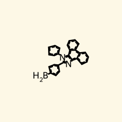 Bc1ccc(-c2nc3c4ccccc4c4ccccc4c3n2-c2ccccc2)cc1